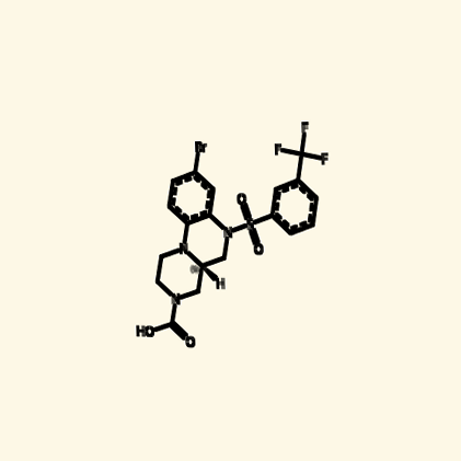 O=C(O)N1CCN2c3ccc(Br)cc3N(S(=O)(=O)c3cccc(C(F)(F)F)c3)C[C@@H]2C1